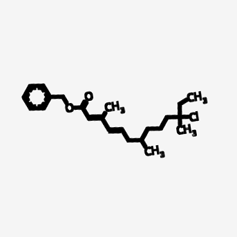 CCC(C)(Cl)CCCC(C)C/C=C/C(C)=C/C(=O)OCc1ccccc1